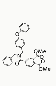 COC(=O)c1ccc(C(=O)N(Cc2ccccc2)Cc2ccc(Oc3ccccc3)cc2)cc1C(=O)OC